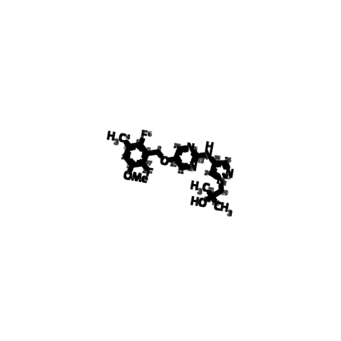 COc1cc(C)c(F)c(COc2cnc(Nc3cnn(CC(C)(C)O)c3)nc2)c1F